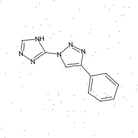 c1ccc(-c2cn(-c3nnc[nH]3)nn2)cc1